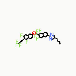 C=CCCc1cnc(-c2ccc3c(F)c(C(F)(F)Oc4ccc5c(F)c(C#CC(F)(F)F)c(F)cc5c4)c(F)cc3c2)nc1